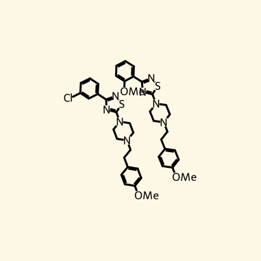 COc1ccc(CCN2CCN(c3nc(-c4cccc(Cl)c4)ns3)CC2)cc1.COc1ccc(CCN2CCN(c3nc(-c4ccccc4OC)ns3)CC2)cc1